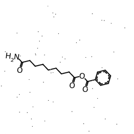 NC(=O)CCCCCCCC(=O)OC(=O)c1ccccc1